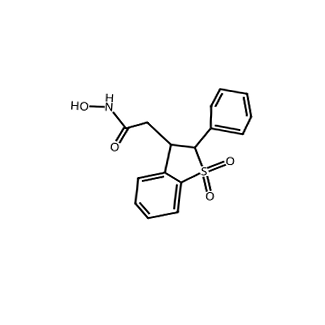 O=C(CC1c2ccccc2S(=O)(=O)C1c1ccccc1)NO